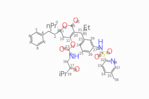 CCC[C@@]1(CCc2ccccc2)CC(OC(=O)NCC(=O)C(C)C)=C([C@H](CC)c2cccc(NS(=O)(=O)c3ccc(C)cn3)c2)C(=O)O1